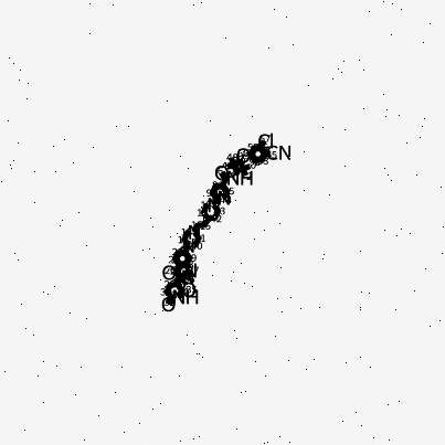 CC1(C)[C@H](NC(=O)c2ccc(N3CCC(CCN4CCN(c5ccc6c(=O)n(C7CCC(=O)NC7=O)nnc6c5)CC4)CC3)nc2)C(C)(C)[C@H]1Oc1ccc(C#N)c(Cl)c1